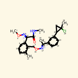 CNC(=O)/C(=N/OC)c1cccc(C)c1CO/N=C(\C)c1cccc(C2CC2(C)Cl)c1